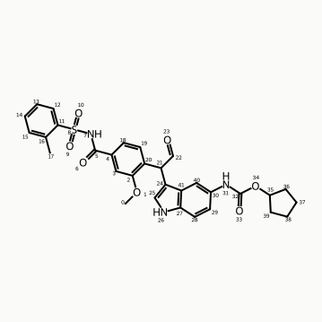 COc1cc(C(=O)NS(=O)(=O)c2ccccc2C)ccc1C(C=O)c1c[nH]c2ccc(NC(=O)OC3CCCC3)cc12